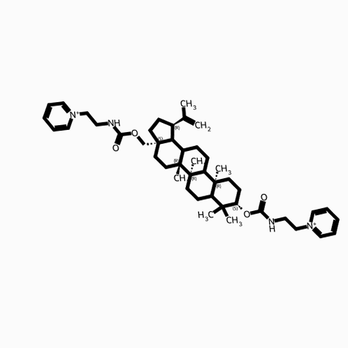 C=C(C)[C@@H]1CC[C@]2(COC(=O)NCC[n+]3ccccc3)CC[C@]3(C)C(CCC4[C@@]5(C)CC[C@H](OC(=O)NCC[n+]6ccccc6)C(C)(C)C5CC[C@]43C)C12